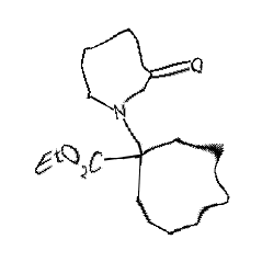 CCOC(=O)C1(N2CCCC2=O)CCCCC1